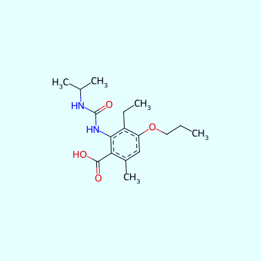 CCCOc1cc(C)c(C(=O)O)c(NC(=O)NC(C)C)c1CC